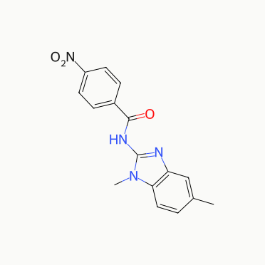 Cc1ccc2c(c1)nc(NC(=O)c1ccc([N+](=O)[O-])cc1)n2C